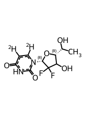 [2H]c1c([2H])n([C@@H]2O[C@H](C(C)O)C(O)C2(F)F)c(=O)[nH]c1=O